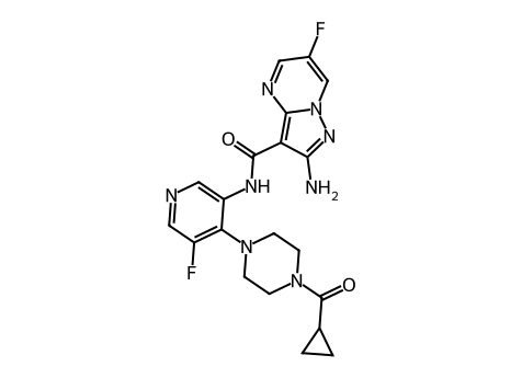 Nc1nn2cc(F)cnc2c1C(=O)Nc1cncc(F)c1N1CCN(C(=O)C2CC2)CC1